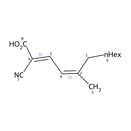 CCCCCCC/C(C)=C\C=C(/C#N)C(=O)O